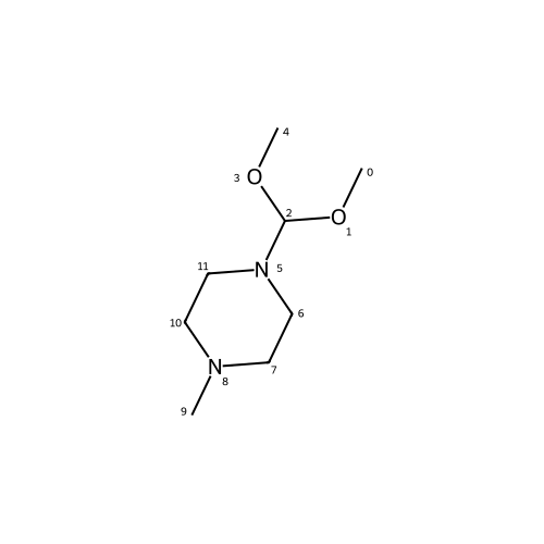 COC(OC)N1CCN(C)CC1